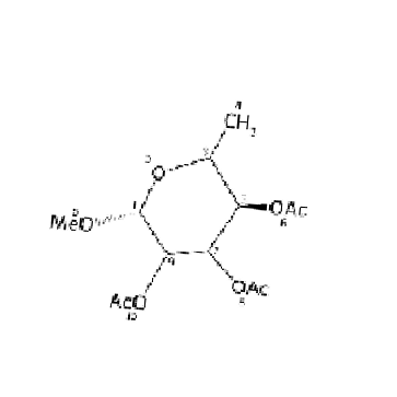 CO[C@@H]1OC(C)[C@@H](OC(C)=O)C(OC(C)=O)C1OC(C)=O